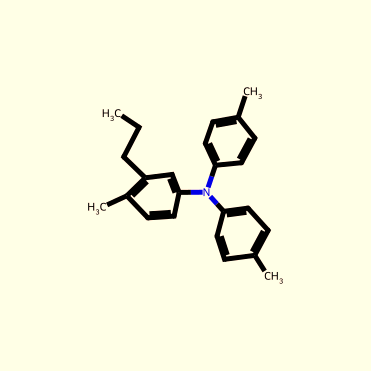 CCCc1cc(N(c2ccc(C)cc2)c2ccc(C)cc2)ccc1C